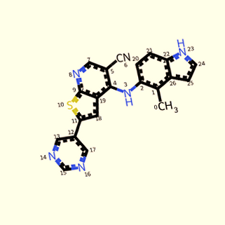 Cc1c(Nc2c(C#N)cnc3sc(-c4cncnc4)cc23)ccc2[nH]ccc12